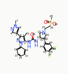 Cc1c(-c2cnn(C)c2)nn(-c2ccccc2)c1NC(=O)N[C@@H]1CN(CCS(C)(=O)=O)C[C@H]1c1ccc(F)c(F)c1